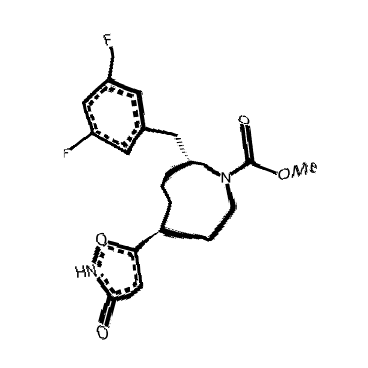 COC(=O)N1CC[C@@H](c2cc(=O)[nH]o2)C[C@@H]1Cc1cc(F)cc(F)c1